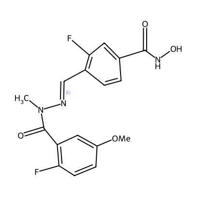 COc1ccc(F)c(C(=O)N(C)/N=C/c2ccc(C(=O)NO)cc2F)c1